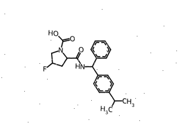 CC(C)c1ccc(C(NC(=O)C2CC(F)CN2C(=O)O)c2ccccc2)cc1